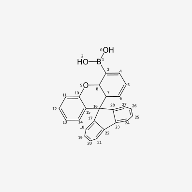 OB(O)C1=CC=CC2C1Oc1ccccc1C21c2ccccc2-c2ccccc21